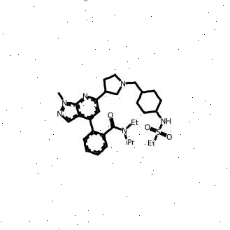 CCN(C(=O)c1ccccc1-c1cc(C2CCN(CC3CCC(NS(=O)(=O)CC)CC3)C2)nc2c1cnn2C)C(C)C